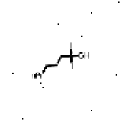 CCCCCCC(O)(I)I